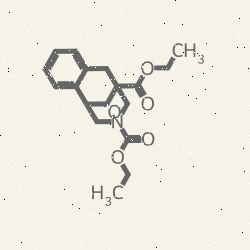 CCOC(=O)N1CC2C(=O)C(C(=O)OCC)(Cc3ccccc32)C1